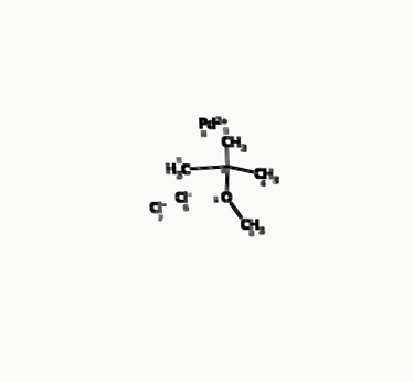 COC(C)(C)C.[Cl-].[Cl-].[Pd+2]